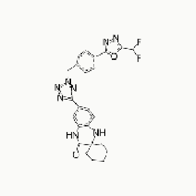 O=C1Nc2cc(-c3nnn(Cc4ccc(-c5nnc(C(F)F)o5)cc4)n3)ccc2NC12CCCCC2